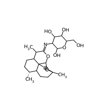 CC1/C(=N/C2C(O)OC(CO)C(O)C2O)OC2OC3(C)CCC4[C@H](C)CCC1C24OO3